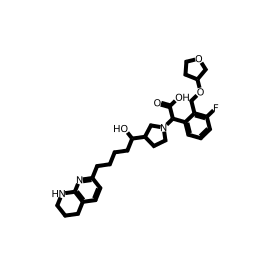 O=C(O)C(c1cccc(F)c1COC1CCOC1)N1CCC(C(O)CCCCc2ccc3c(n2)NCCC3)C1